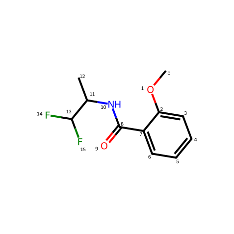 COc1ccccc1C(=O)NC(C)C(F)F